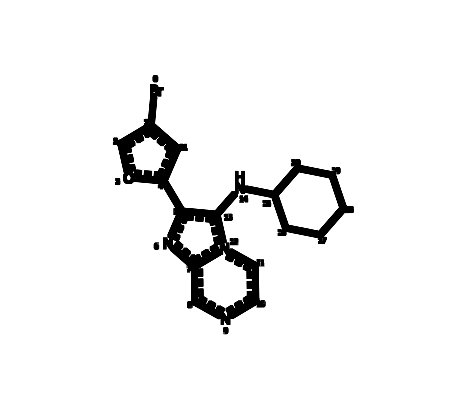 Brc1coc(-c2nc3cnccn3c2NC2CCCCC2)c1